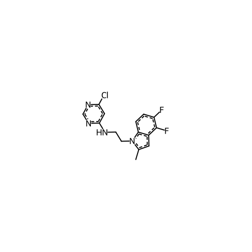 Cc1cc2c(F)c(F)ccc2n1CCNc1cc(Cl)ncn1